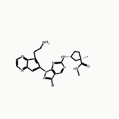 CNC(=O)[C@]1(C)CC[C@@H](Nc2ncc3c(Br)nn(-c4cc(CCN)c5nccnc5c4)c3n2)C1